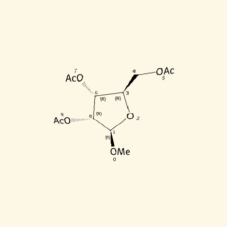 CO[C@@H]1O[C@H](COC(C)=O)[C@@H](OC(C)=O)[C@H]1OC(C)=O